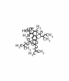 CCC(C)CC(=O)OC(C)C(C)C(c1ccc(OC(=O)OCC(C)C)c(OC(=O)OCC(C)C)c1)[C@H](N)C(=O)O